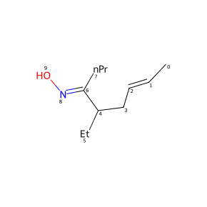 C/C=C/CC(CC)/C(CCC)=N/O